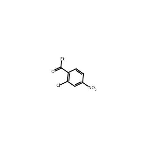 CCC(=O)c1ccc([N+](=O)[O-])cc1Cl